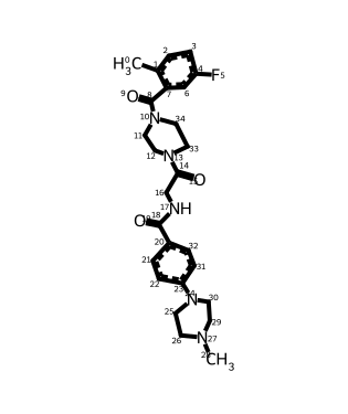 Cc1ccc(F)cc1C(=O)N1CCN(C(=O)CNC(=O)c2ccc(N3CCN(C)CC3)cc2)CC1